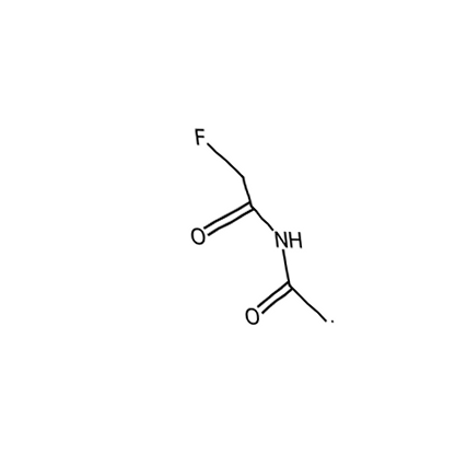 [CH2]C(=O)NC(=O)CF